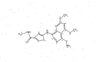 CNC(=O)c1csc(Nc2cnc(CN)c3c(OC)cc(OC)cc23)n1